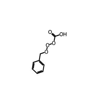 O=C(O)OOOCc1ccccc1